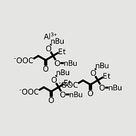 CCCCOC(CC)(OCCCC)C(=O)CC(=O)[O-].CCCCOC(CC)(OCCCC)C(=O)CC(=O)[O-].CCCCOC(CC)(OCCCC)C(=O)CC(=O)[O-].[Al+3]